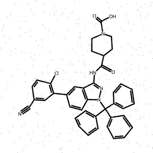 N#Cc1ccc(Cl)c(-c2ccc3c(c2)c(NC(=O)C2CCN(C(=O)O)CC2)nn3C(c2ccccc2)(c2ccccc2)c2ccccc2)c1